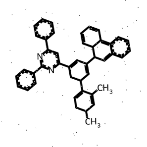 CC1=CC(C)CC=C1C1C=C(C2C=c3ccccc3=C3C=CC=CC32)C=C(c2cc(-c3ccccc3)nc(-c3ccccc3)n2)C1